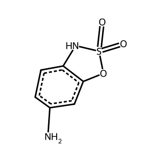 Nc1ccc2c(c1)OS(=O)(=O)N2